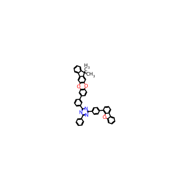 CC1(C)c2ccccc2-c2cc3c(cc21)Oc1ccc(-c2cccc(-c4nc(-c5ccccc5)nc(-c5ccc(-c6cccc7c6oc6ccccc67)cc5)n4)c2)cc1O3